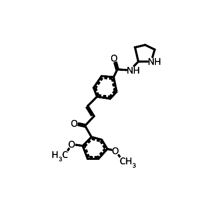 COc1ccc(OC)c(C(=O)C=Cc2ccc(C(=O)NC3CCCN3)cc2)c1